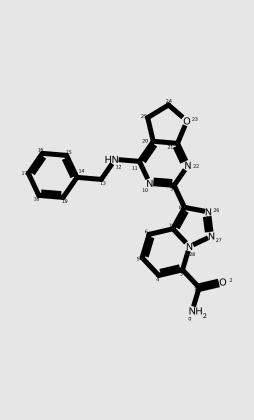 NC(=O)c1cccc2c(-c3nc(NCc4ccccc4)c4c(n3)OCC4)nnn12